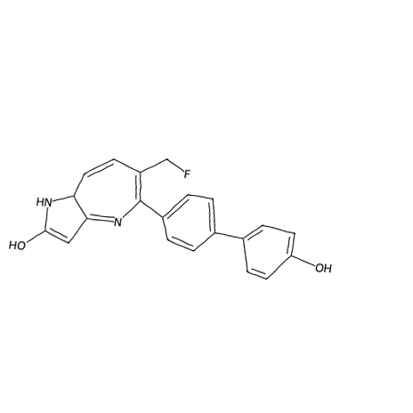 OC1=CC2=NC(c3ccc(-c4ccc(O)cc4)cc3)=C(CF)C=CC2N1